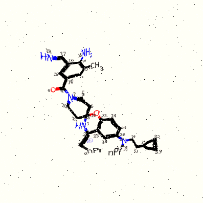 CCC/C=C1/NC2(CCN(C(=O)c3cc(C)c(N)c(C=N)c3)CC2)Oc2ccc(N(CCC)CCC3CC3)cc21